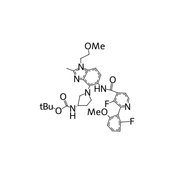 COCCn1c(C)nc2c(N3CC[C@H](NC(=O)OC(C)(C)C)C3)c(NC(=O)c3ccnc(-c4c(F)cccc4OC)c3F)ccc21